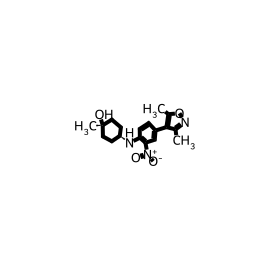 Cc1noc(C)c1-c1ccc(N[C@H]2CC[C@](C)(O)CC2)c([N+](=O)[O-])c1